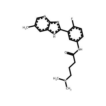 Cc1cnc2nc(-c3cc(NC(=O)CCCN(C)C)ccc3F)[nH]c2c1